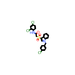 O=C(CS(=O)(=O)c1cn(Cc2ccc(Cl)cc2)c2ccccc12)Nc1ccc(Cl)cc1Cl